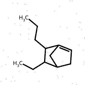 CCCC1C2=CCC(C2)C1CC